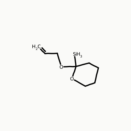 C=CCOC1([SiH3])CCCCO1